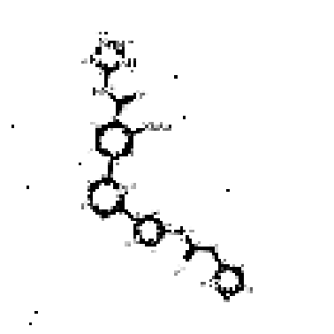 COc1cc(-c2cncc(-c3cc(NC(=O)Cc4ccco4)cs3)n2)ccc1C(=O)Nc1nnn[nH]1